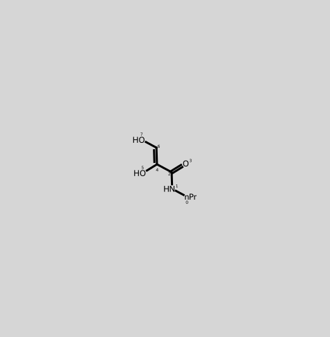 CCCNC(=O)C(O)=CO